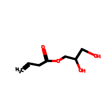 C=CCC(=O)OCC(O)CO